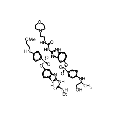 CC(CO)Nc1ccc(S(=O)(=O)Oc2ccc3[nH]c(NC(=O)NCCN4CCOCC4)nc3c2)cc1.CCNC(=O)Nc1nc2cc(OS(=O)(=O)c3ccc(NCCOC)cc3)ccc2[nH]1